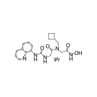 CC(C)[C@H](NC(=O)Nc1cccc2cccnc12)C(=O)N(CC(=O)NO)CC1CCC1